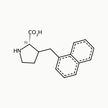 O=C(O)[C@H]1NCCC1Cc1cccc2ccccc12